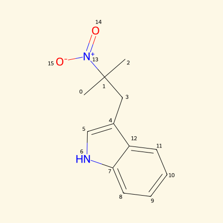 CC(C)(Cc1c[nH]c2ccccc12)[N+](=O)[O-]